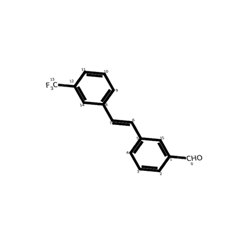 O=Cc1cccc(/C=C/c2cccc(C(F)(F)F)c2)c1